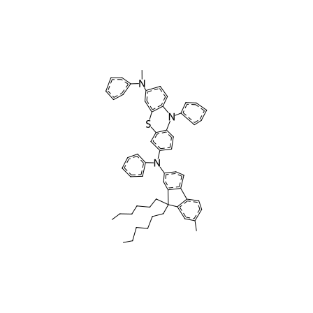 CCCCCCC1(CCCCCC)c2cc(C)ccc2-c2ccc(N(c3ccccc3)c3ccc4c(c3)Sc3cc(N(C)c5ccccc5)ccc3N4c3ccccc3)cc21